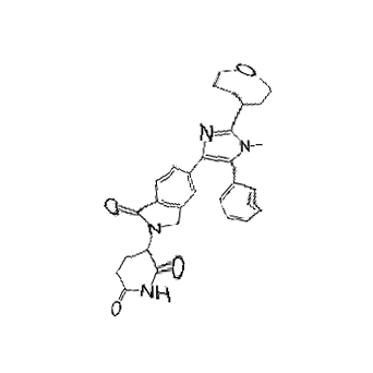 Cn1c(C2CCOCC2)nc(-c2ccc3c(c2)CN(C2CCC(=O)NC2=O)C3=O)c1-c1ccccc1